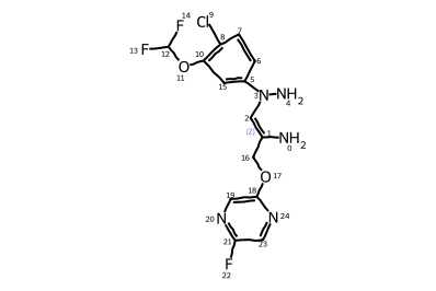 N/C(=C\N(N)c1ccc(Cl)c(OC(F)F)c1)COc1cnc(F)cn1